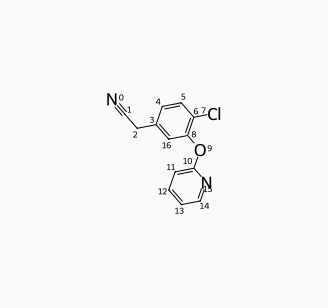 N#CCc1ccc(Cl)c(Oc2ccccn2)c1